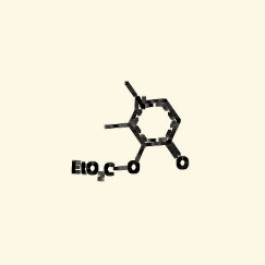 CCOC(=O)Oc1c(C)n(C)ccc1=O